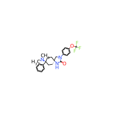 CN(C)[C@]1(c2ccccc2)CC[C@]2(CC1)CN(c1ccc(OC(F)(F)F)cc1)C(=O)N2